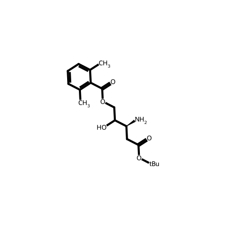 Cc1cccc(C)c1C(=O)OCC(O)[C@@H](N)CC(=O)OC(C)(C)C